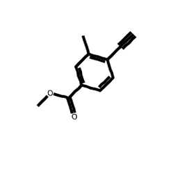 C#Cc1ccc(C(=O)OC)cc1C